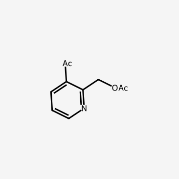 CC(=O)OCc1ncccc1C(C)=O